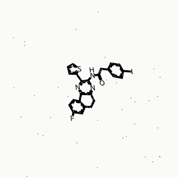 O=C(Cc1ccc(I)cc1)Nc1nc2c(nc1-c1cccs1)-c1ccc(F)cc1CC2